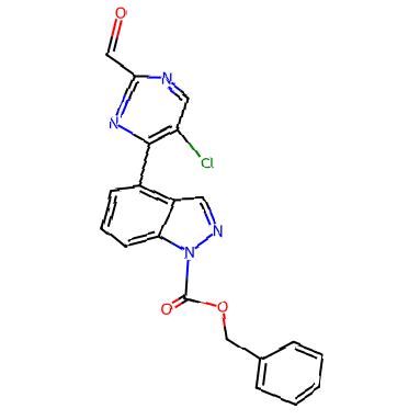 O=Cc1ncc(Cl)c(-c2cccc3c2cnn3C(=O)OCc2ccccc2)n1